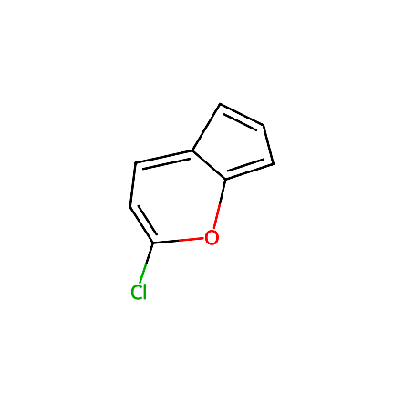 Clc1ccc2cccc-2o1